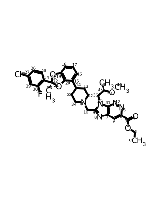 CCOC(=O)c1cc2nc(CN3CCC(c4cccc5c4O[C@@](C)(c4ccc(Cl)cc4F)O5)CC3)n(C[C@@H](C)OC)c2nn1